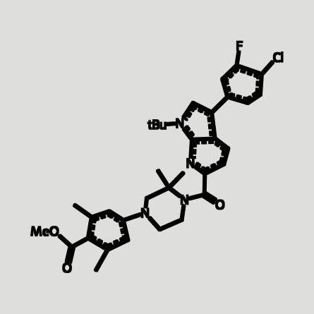 COC(=O)c1c(C)cc(N2CCN(C(=O)c3ccc4c(-c5ccc(Cl)c(F)c5)cn(C(C)(C)C)c4n3)C(C)(C)C2)cc1C